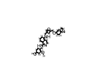 COc1ccc(CNc2nccc3c(NCC45COC(COc6ccc7nccn7c6)(C4)C5)cccc23)c(OC)c1